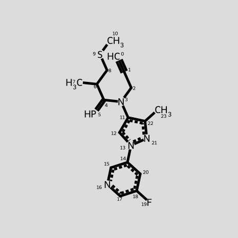 C#CCN(C(=P)C(C)CSC)c1cn(-c2cncc(F)c2)nc1C